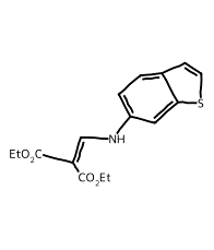 CCOC(=O)C(=CNc1ccc2ccsc2c1)C(=O)OCC